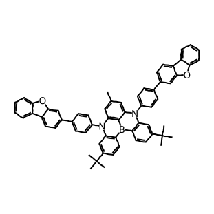 Cc1cc2c3c(c1)N(c1ccc(-c4ccc5c(c4)oc4ccccc45)cc1)c1cc(C(C)(C)C)ccc1B3c1ccc(C(C)(C)C)cc1N2c1ccc(-c2ccc3c(c2)oc2ccccc23)cc1